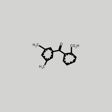 Cc1cc(C)cc(C(=O)c2ccccc2C(=O)O)c1